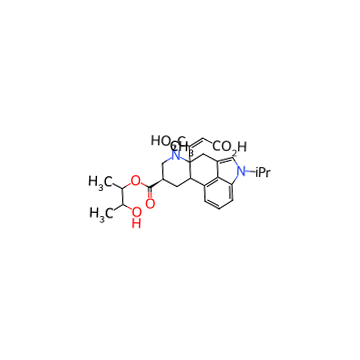 CC(O)C(C)OC(=O)[C@@H]1CC2c3cccc4c3c(cn4C(C)C)CC2(/C(=C\C(=O)O)C(=O)O)N(C)C1